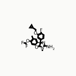 Cc1cc([C@@]2(c3ccc(F)c(OCC4CC4)c3)N=C(N)N(C)C2=O)ccc1OC(F)F